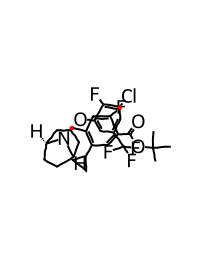 CC(C)(C)OC(=O)c1cc(C2CC2)c(CN2[C@@H]3CC[C@H]2C[C@@H](Oc2cc(C(F)(F)F)cc(Cl)c2F)C3)cc1F